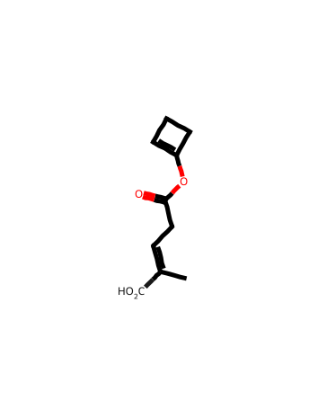 CC(=CCC(=O)OC1=CCC1)C(=O)O